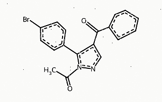 CC(=O)n1ncc(C(=O)c2ccccc2)c1-c1ccc(Br)cc1